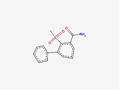 CS(=O)(=O)c1c(C(N)=O)cccc1-c1ccccc1